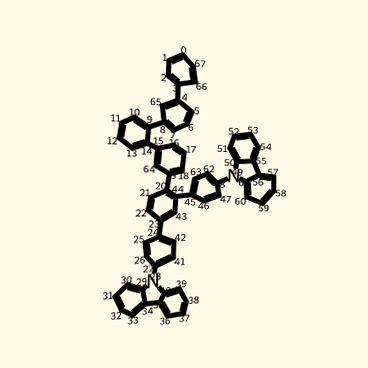 c1ccc(-c2cccc(-c3ccccc3-c3cccc(-c4ccc(-c5ccc(-n6c7ccccc7c7ccccc76)cc5)cc4-c4ccc(-n5c6ccccc6c6ccccc65)cc4)c3)c2)cc1